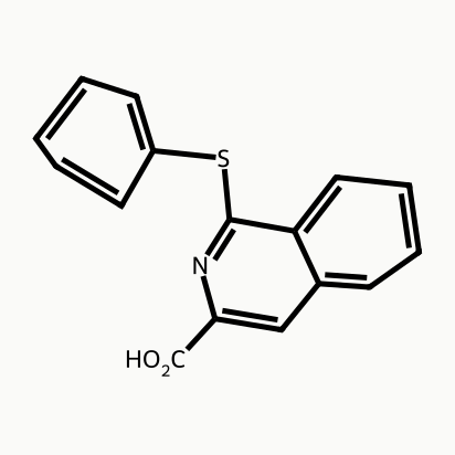 O=C(O)c1cc2ccccc2c(Sc2ccccc2)n1